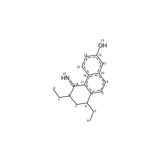 CCC1CC(CC)c2ccc3cc(O)ccc3c2C1=N